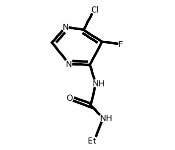 CCNC(=O)Nc1ncnc(Cl)c1F